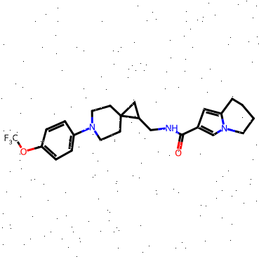 O=C(NCC1CC12CCN(c1ccc(OC(F)(F)F)cc1)CC2)c1cc2n(c1)CCCC2